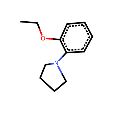 CCOc1ccccc1N1CCCC1